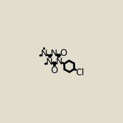 CN(C)c1nc(=O)n(C2CCC(Cl)CC2)c(=O)n1C